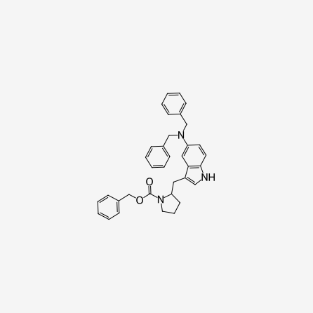 O=C(OCc1ccccc1)N1CCCC1Cc1c[nH]c2ccc(N(Cc3ccccc3)Cc3ccccc3)cc12